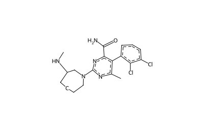 CNC1CCCCN(c2nc(C)c(-c3cccc(Cl)c3Cl)c(C(N)=O)n2)C1